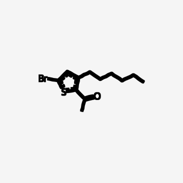 CCCCCCc1cc(Br)sc1C(C)=O